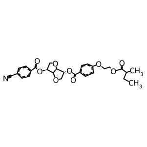 CCC(C)C(=O)OCCOc1ccc(C(=O)O[C@@H]2COC3C2OC[C@@H]3OC(=O)c2ccc(C#N)cc2)cc1